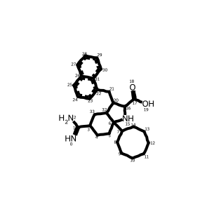 N=C(N)C1CCC2(C3CCCCCCC3)NC(C(=O)O)C(Cc3cccc4ccccc34)C2C1